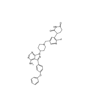 Nc1ncnc2c1c(-c1ccc(Oc3ccccc3)cc1)nn2C1CCN(Cc2cnc(F)c(C3CCC(=O)NC3=O)c2)CC1